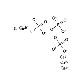 O=P([O-])([O-])[O-].O=P([O-])([O-])[O-].O=P([O-])([O-])[O-].[Ca+2].[Ca+2].[Ca+2].[Ca+2].[Ca+2].[F-]